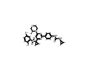 C[C@H]1COCCN1c1cc(C2(S(=O)(=O)c3cc(F)ccc3F)CC2)nc(-c2ccc(NC(=O)NC3CC3)cc2)n1